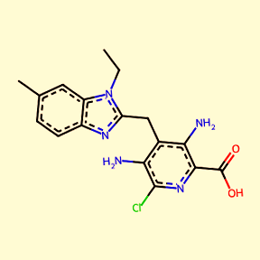 CCn1c(Cc2c(N)c(Cl)nc(C(=O)O)c2N)nc2ccc(C)cc21